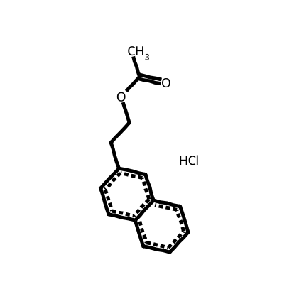 CC(=O)OCCc1ccc2ccccc2c1.Cl